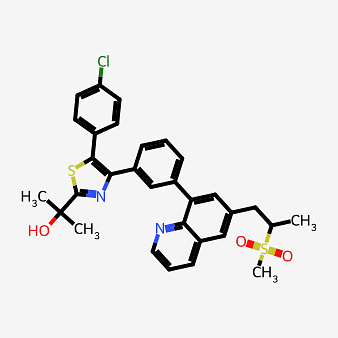 CC(Cc1cc(-c2cccc(-c3nc(C(C)(C)O)sc3-c3ccc(Cl)cc3)c2)c2ncccc2c1)S(C)(=O)=O